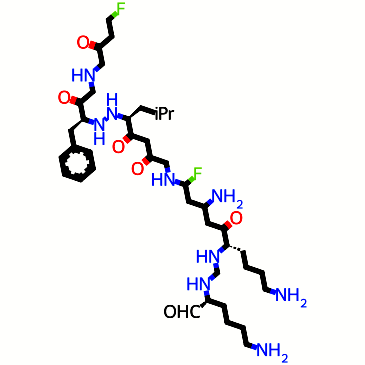 CC(C)C[C@H](NN[C@@H](Cc1ccccc1)C(=O)CNCC(=O)CCF)C(=O)CC(=O)CNC(F)CC(N)CC(=O)[C@H](CCCCN)NCN[C@H](C=O)CCCCN